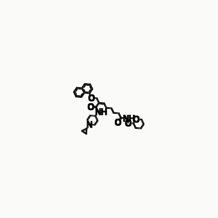 O=C(CCCCC=C(COc1cccc2ccccc12)C(=O)NC1CCN(C2CC2)CC1)NOC1CCCCO1